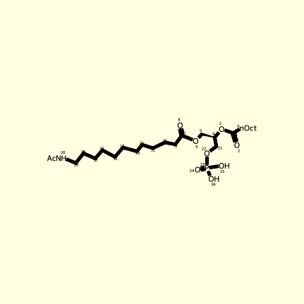 CCCCCCCCC(=O)O[C@H](COC(=O)CCCCCCCCCCCNC(C)=O)COP(=O)(O)O